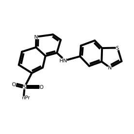 CCCS(=O)(=O)c1ccc2nccc(Nc3ccc4scnc4c3)c2c1